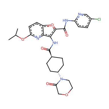 CC(C)Oc1ccc2oc(C(=O)Nc3ccc(Cl)cn3)c(NC(=O)[C@H]3CC[C@H](N4CCOCC4=O)CC3)c2n1